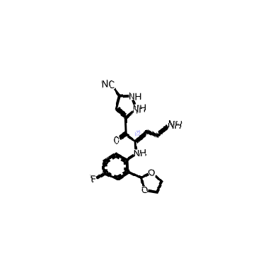 N#CC1C=C(C(=O)/C(=C/C=N)Nc2ccc(F)cc2C2OCCO2)NN1